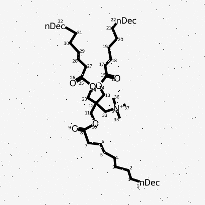 CCCCCCCCCCCCCCCCCC(=O)OCC(COC(=O)CCCCCCCCCCCCCCC)(COC(=O)CCCCCCCCCCCCCCC)C[N+](C)(C)C